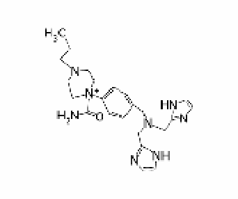 CCCN1CC[N+](C(N)=O)(c2ccc(CN(Cc3ncc[nH]3)Cc3ncc[nH]3)cc2)CC1